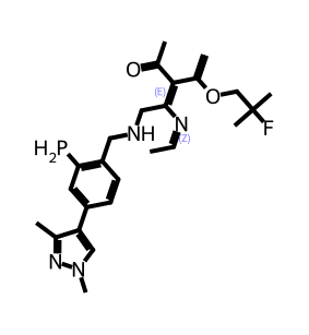 C=C(OCC(C)(C)F)/C(C(C)=O)=C(CNCc1ccc(-c2cn(C)nc2C)cc1P)\N=C/C